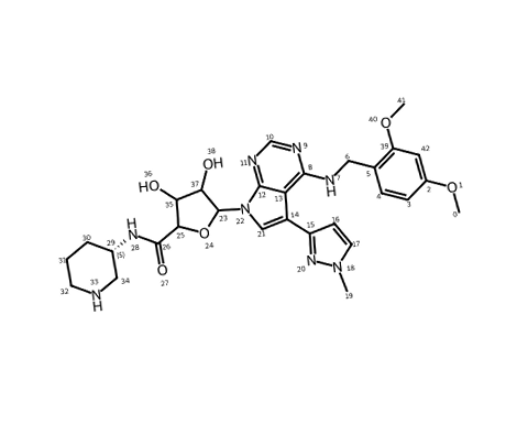 COc1ccc(CNc2ncnc3c2c(-c2ccn(C)n2)cn3C2OC(C(=O)N[C@H]3CCCNC3)C(O)C2O)c(OC)c1